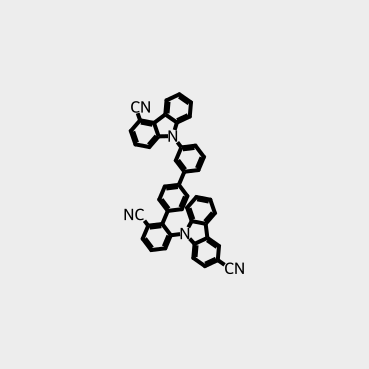 N#Cc1ccc2c(c1)c1ccccc1n2-c1cccc(C#N)c1-c1ccc(-c2cccc(-n3c4ccccc4c4c(C#N)cccc43)c2)cc1